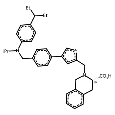 CCC(CC)c1ccc(N(Cc2ccc(-c3csc(CN4Cc5ccccc5C[C@H]4C(=O)O)c3)cc2)C(C)C)cc1